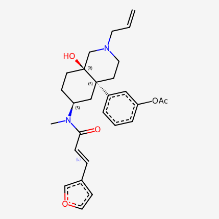 C=CCN1CC[C@@]2(c3cccc(OC(C)=O)c3)C[C@@H](N(C)C(=O)/C=C/c3ccoc3)CC[C@]2(O)C1